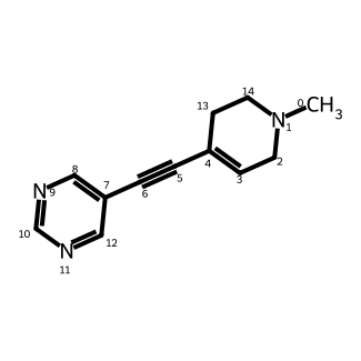 CN1CC=C(C#Cc2cncnc2)CC1